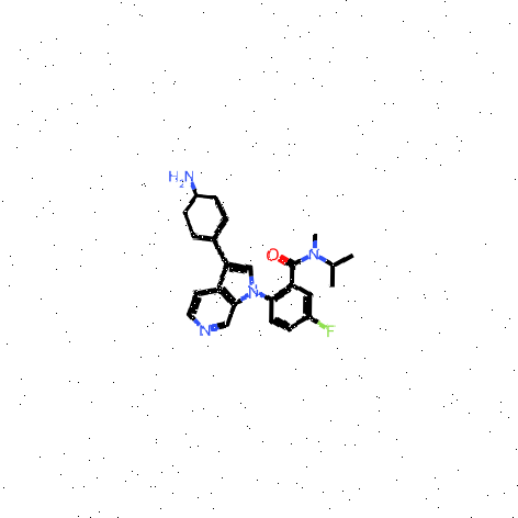 CC(C)N(C)C(=O)c1cc(F)ccc1-n1cc(C2CCC(N)CC2)c2ccncc21